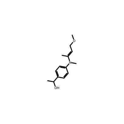 COC/C=C(\C)N(C)c1ccc(C(C)O)cc1